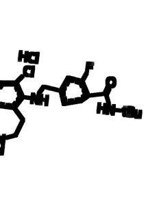 CC(C)(C)NC(=O)c1ccc(CNc2c(Cl)ccc3c2CCNCC3)cc1F.Cl